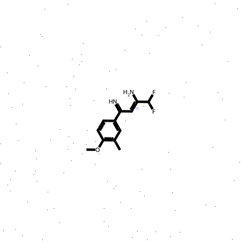 COc1ccc(C(=N)/C=C(\N)C(F)F)cc1C